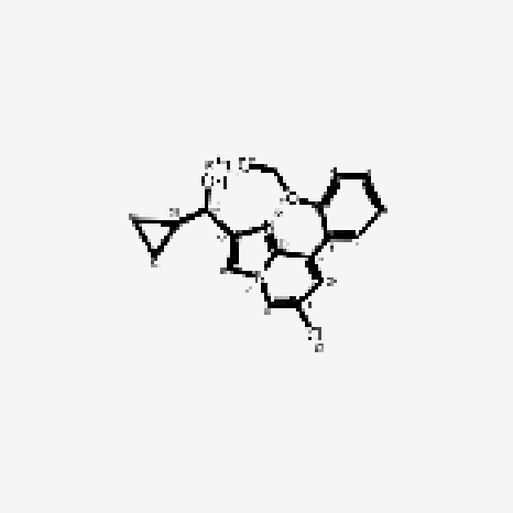 CCOc1ccccc1-c1cc(Cl)cn2cc(C(O)C3CC3)nc12